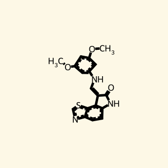 COc1cc(NC=C2C(=O)Nc3ccc4ncsc4c32)cc(OC)c1